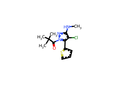 CNc1nn(C(=O)C(C)(C)C)c(-c2cccs2)c1Cl